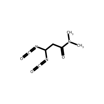 CN(C)C(=O)CC(N=C=O)N=C=O